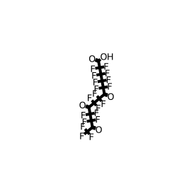 O=C(C(F)(F)F)C(F)(F)C(F)(F)C(=O)C(F)(F)C(F)(F)C(=O)C(F)(F)C(F)(F)C(F)(F)C(F)(F)C(=O)O